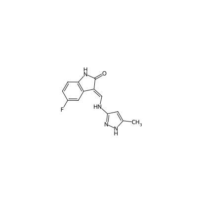 Cc1cc(N/C=C2/C(=O)Nc3ccc(F)cc32)n[nH]1